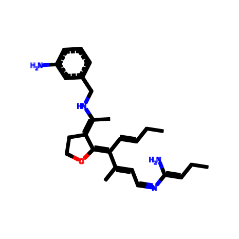 CC/C=C/C(=C1/OCC/C1=C(/C)NCc1cccc(N)c1)C(/C)=C/C=N\C(N)=C\CC